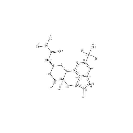 CCN(CC)C(=O)N[C@H]1CC2c3cc(C(C)(C)O)cc4[nH]c(C)c(c34)C[C@H]2N(C)C1